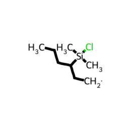 [CH2]CC(CCC)[Si](C)(C)Cl